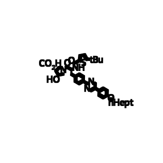 CCCCCCCOc1ccc(-c2cnc(-c3ccc(C[C@H](NC(=O)c4ccc(C(C)(C)C)s4)C(=O)N4C[C@H](O)CC4C(=O)O)cc3)nc2)cc1